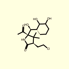 CC(=O)[C@]1([C@@H](O)[C@H]2CCCC(O)C2O)NC(=O)[C@H](CCCl)C1(C)C